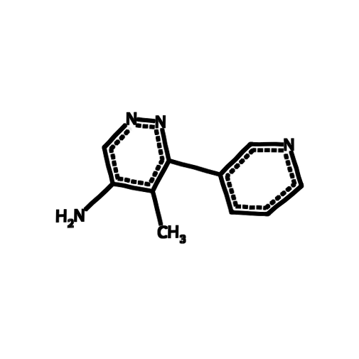 Cc1c(N)cnnc1-c1cccnc1